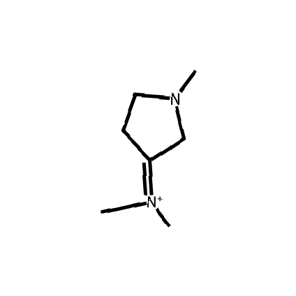 CN1CCC(=[N+](C)C)C1